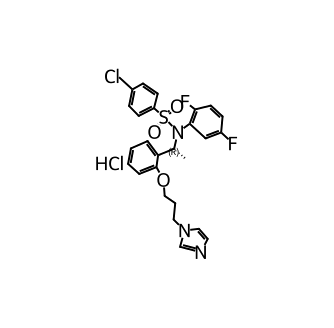 C[C@H](c1ccccc1OCCCn1ccnc1)N(c1cc(F)ccc1F)S(=O)(=O)c1ccc(Cl)cc1.Cl